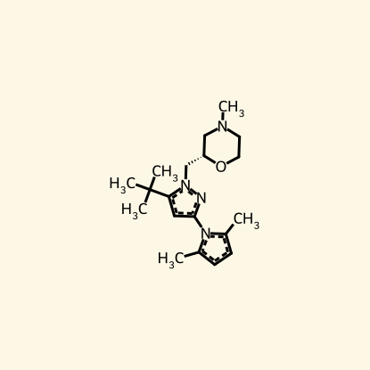 Cc1ccc(C)n1-c1cc(C(C)(C)C)n(C[C@@H]2CN(C)CCO2)n1